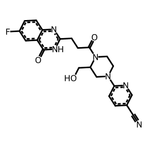 N#Cc1ccc(N2CCN(C(=O)CCc3nc4ccc(F)cc4c(=O)[nH]3)C(CO)C2)nc1